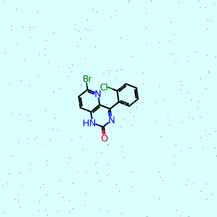 O=c1nc(-c2ccccc2Cl)c2nc(Br)ccc2[nH]1